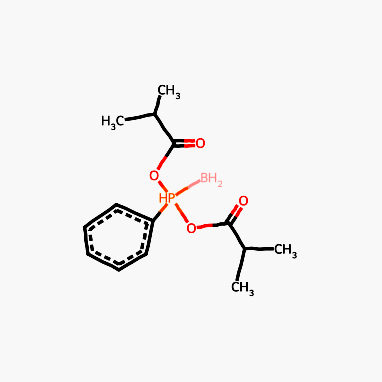 B[PH](OC(=O)C(C)C)(OC(=O)C(C)C)c1ccccc1